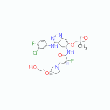 CC1(COc2cc3ncnc(Nc4ccc(F)c(Cl)c4)c3cc2NC(=O)/C(F)=C\CN2CC[C@@H](OCCO)C2)COC1